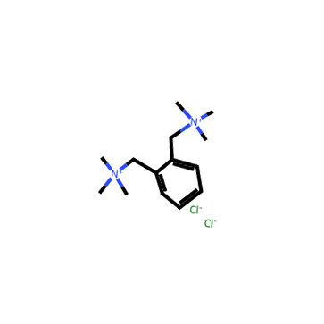 C[N+](C)(C)Cc1ccccc1C[N+](C)(C)C.[Cl-].[Cl-]